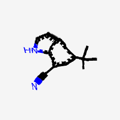 CC(C)(C)c1cc(C#N)c2[nH]ccc2c1